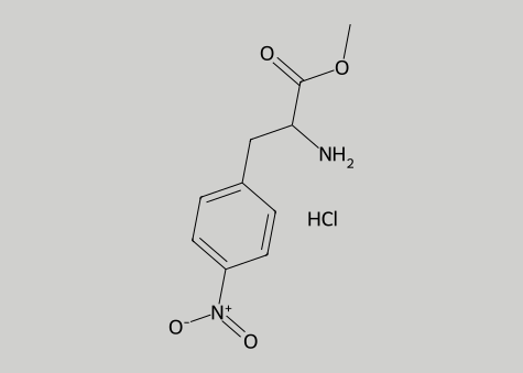 COC(=O)C(N)Cc1ccc([N+](=O)[O-])cc1.Cl